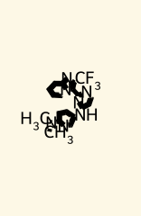 CN(C)c1ccc(Nc2ccnc(-c3c(C(F)(F)F)nc4ccccn34)n2)cn1